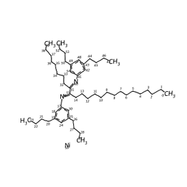 CCCCCCCCCCCCCCCC(=N\c1cc(CCCC)cc(CCCC)c1)/C(CCCCCCCC)=N/c1cc(CCCC)cc(CCCC)c1.[Ni]